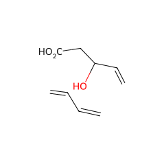 C=CC(O)CC(=O)O.C=CC=C